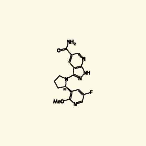 COc1ncc(F)cc1[C@H]1CCCN1c1n[nH]c2ncc(C(N)=O)cc12